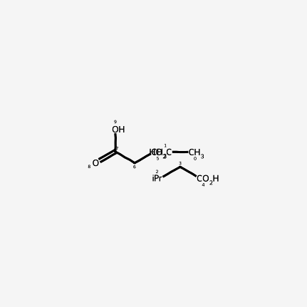 CC(=O)O.CC(C)CC(=O)O.CCC(=O)O